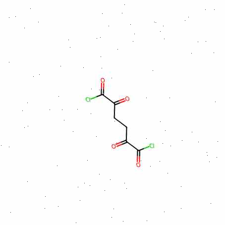 O=C(Cl)C(=O)CCC(=O)C(=O)Cl